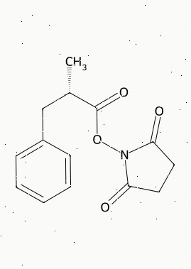 C[C@@H](Cc1ccccc1)C(=O)ON1C(=O)CCC1=O